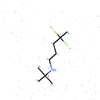 CC(F)(F)CCCNC(C)(C)C